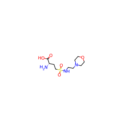 N[C@@H](CCS(=O)(=O)NCCN1CCOCC1)C(=O)O